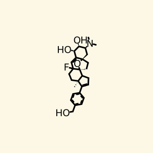 CN(C)[C@H]1C[C@@]23CC[C@]4(O2)C2CC=C(c5ccc(CO)cc5)[C@@]2(C)CCC4(F)C=C3[C@@H](O)[C@@H]1O